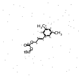 Cc1cc(C)cc(C=CCOC(=O)OC(C)(C)C)c1